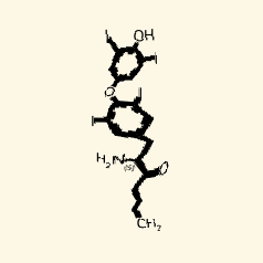 C=CC=CC(=O)[C@@H](N)Cc1cc(I)c(Oc2cc(I)c(O)c(I)c2)c(I)c1